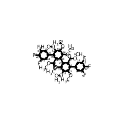 COC(=O)c1c(-c2cc(F)c(F)c(F)c2)c(OC)c(OC)c(OC)c1-c1c(OC)c(OC)c(OC)c(-c2cc(F)c(F)c(F)c2)c1C(=O)OC